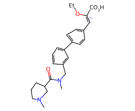 CCO/C(=C\c1ccc(-c2cccc(CN(C)C(=O)C3CCCN(C)C3)c2)cc1)C(=O)O